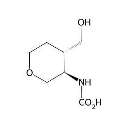 O=C(O)N[C@H]1COCC[C@@H]1CO